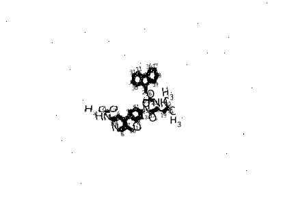 CC(=O)Nc1cc2c(cn1)COc1cc(NC(=O)[C@H](CC(C)C)NC(=O)OCC3c4ccccc4-c4ccccc43)ccc1-2